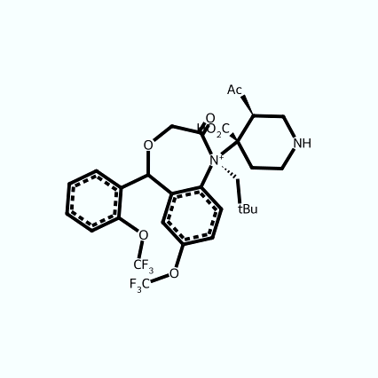 CC(=O)[C@H]1CNCC[C@]1(C(=O)O)[N@+]1(CC(C)(C)C)C(=O)COC(c2ccccc2OC(F)(F)F)c2cc(OC(F)(F)F)ccc21